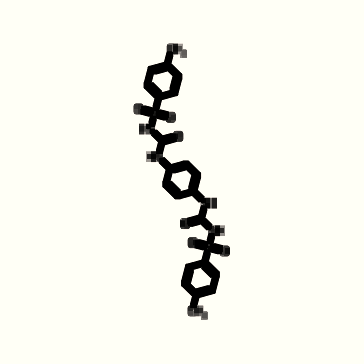 Cc1ccc(S(=O)(=O)NC(=O)Nc2ccc(NC(=O)NS(=O)(=O)c3ccc(C)cc3)cc2)cc1